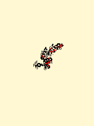 CC[C@H](C)C(NC(=O)[C@H](CC(C)C)N(C)C(=O)C[C@@H](C(=O)N(C)C)N(C)C(=O)C(C1CCCC1)N(C)C(=O)C1(NC(=O)[C@@H]2CCCN2C(=O)[C@H](CCc2cc(F)c(C(F)(F)F)c(F)c2)NC(=O)OCc2ccccc2)CCCC1)C(=O)N(C)[C@@H](C)C(=O)N1CC[C@H]1C(=O)N(CC)[C@@H](Cc1ccc(C)cc1)C(=O)N(C)CC(=O)OC(C)(C)C